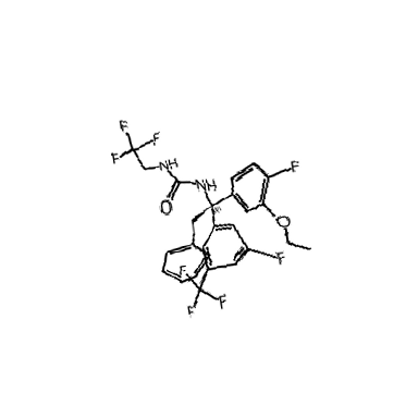 CCOc1cc([C@@](Cc2ccccc2)(NC(=O)NCC(F)(F)F)c2cc(F)cc(C(F)(F)F)c2)ccc1F